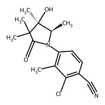 Cc1c(N2C(=O)C(C)(C)[C@@](C)(O)[C@H]2C)ccc(C#N)c1Cl